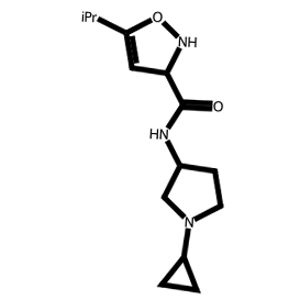 CC(C)C1=CC(C(=O)NC2CCN(C3CC3)C2)NO1